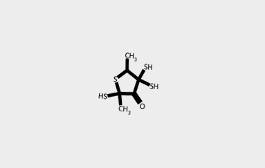 CC1SC(C)(S)C(=O)C1(S)S